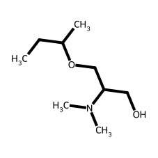 CCC(C)OCC(CO)N(C)C